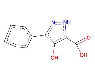 O=C(O)c1[nH]nc(-c2ccccc2)c1O